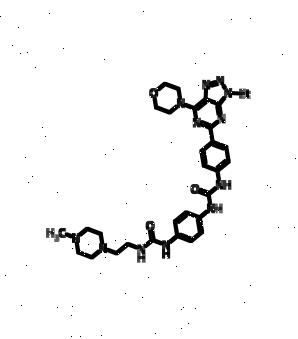 CCn1nnc2c(N3CCOCC3)nc(-c3ccc(NC(=O)Nc4ccc(NC(=O)NCCN5CCN(C)CC5)cc4)cc3)nc21